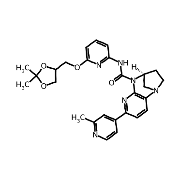 Cc1cc(-c2ccc3c(n2)N(C(=O)Nc2cccc(OCC4COC(C)(C)O4)n2)[C@H]2CCN3C2)ccn1